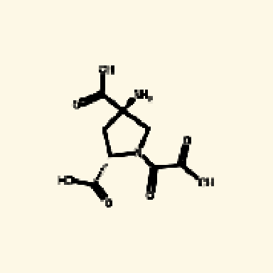 N[C@]1(C(=O)O)C[C@@H](C(=O)O)N(C(=O)C(=O)O)C1